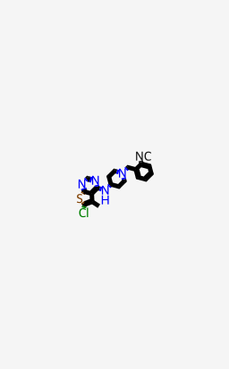 [C-]#[N+]c1ccccc1CN1CCC(Nc2ncnc3sc(Cl)c(C)c23)CC1